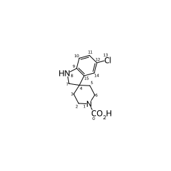 O=C(O)N1CCC2(CC1)CNc1ccc(Cl)cc12